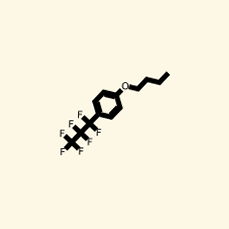 CCCCOc1ccc(C(F)(F)C(F)(F)C(F)(F)F)cc1